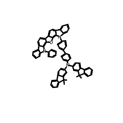 CC1(C)c2ccccc2-c2ccc(N(c3ccc(-c4ccc(-n5c6ccccc6c6ccc7c8ccc9c%10ccccc%10n(-c%10ccccc%10)c9c8oc7c65)cc4)cc3)c3ccc4c(c3)C(C)(C)c3ccccc3-4)cc21